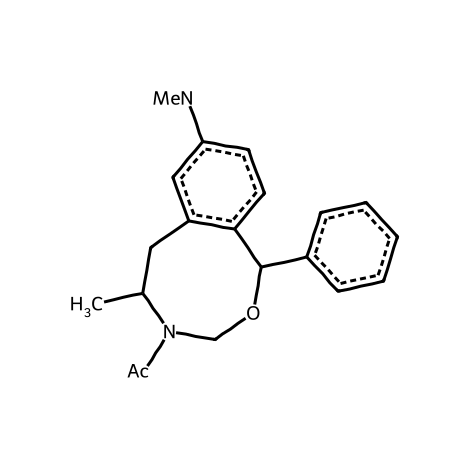 CNc1ccc2c(c1)CC(C)N(C(C)=O)COC2c1ccccc1